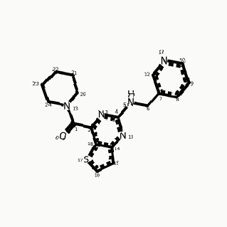 O=C(c1nc(NCc2cccnc2)nc2ccsc12)N1CCCCC1